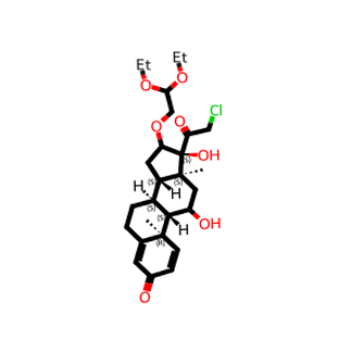 CCOC(COC1C[C@H]2[C@@H]3CCC4=CC(=O)C=C[C@]4(C)[C@H]3C(O)C[C@]2(C)[C@@]1(O)C(=O)CCl)OCC